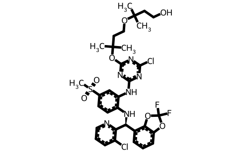 CC(C)(CCO)OCCC(C)(C)Oc1nc(Cl)nc(Nc2cc(S(C)(=O)=O)ccc2N[C@@H](c2cccc3c2OC(F)(F)O3)c2ncccc2Cl)n1